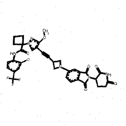 COc1nn(C2(C(=O)Nc3ccc(C(F)(F)F)cc3Cl)CCC2)cc1C#CC1CN(c2ccc3c(c2)C(=O)N(C2CCC(=O)NC2=O)C3=O)C1